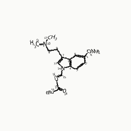 COc1ccc2c(c1)c(CCN(C)C)cn2COC(=O)C(C)(C)C